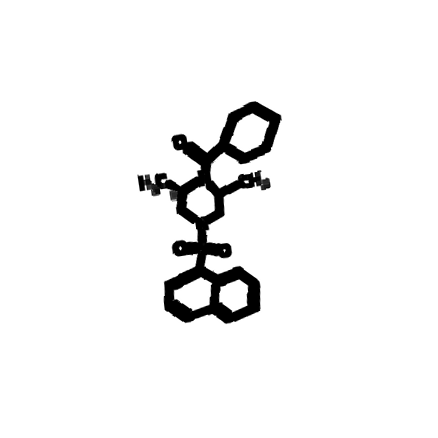 CC1CN(S(=O)(=O)c2cccc3ccccc23)C[C@@H](C)N1C(=O)C1CCCCC1